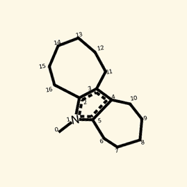 Cn1c2c(c3c1CCCCC3)CCCCCC2